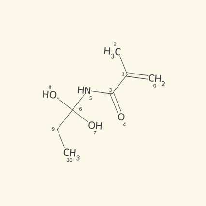 C=C(C)C(=O)NC(O)(O)CC